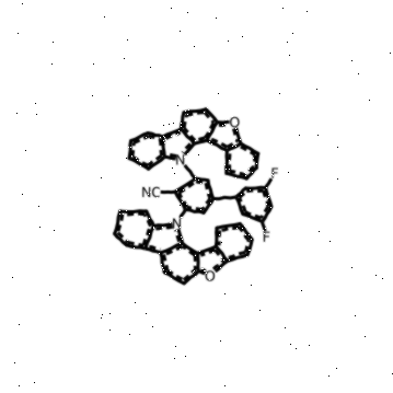 N#Cc1c(-n2c3ccccc3c3ccc4oc5ccccc5c4c32)cc(-c2cc(F)cc(F)c2)cc1-n1c2ccccc2c2ccc3oc4ccccc4c3c21